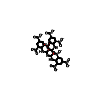 O=[N+]([O-])c1cc([N+](=O)[O-])c(Nc2nc(Nc3c([N+](=O)[O-])cc([N+](=O)[O-])cc3[N+](=O)[O-])nc(Nc3c([N+](=O)[O-])cc([N+](=O)[O-])cc3[N+](=O)[O-])n2)c([N+](=O)[O-])c1